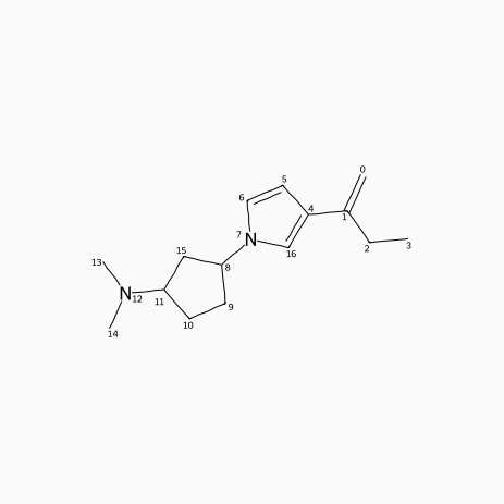 C=C(CC)c1ccn(C2CCC(N(C)C)C2)c1